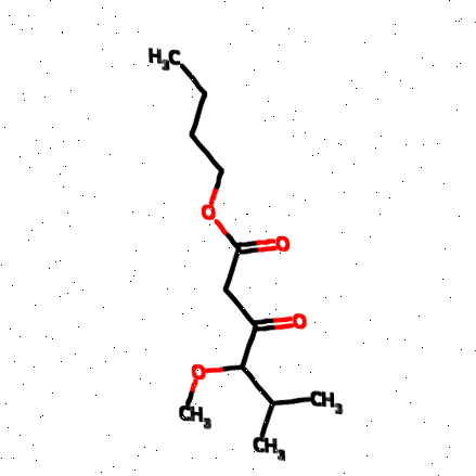 CCCCOC(=O)CC(=O)C(OC)C(C)C